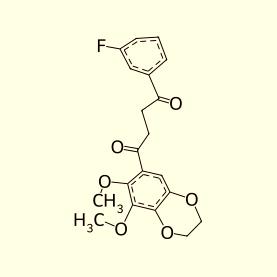 COc1c(C(=O)CCC(=O)c2cccc(F)c2)cc2c(c1OC)OCCO2